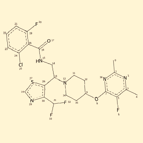 Cc1nc(C)c(F)c(OC2CCN(C(CNC(=O)c3c(F)cccc3Cl)c3scnc3C(F)F)CC2)n1